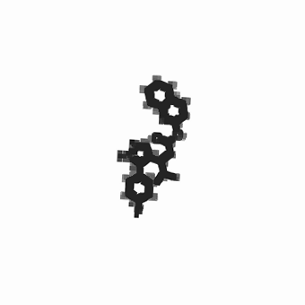 CC(C)C(=CC(=O)Oc1ccc2ccccc2n1)c1cn[nH]c1-c1ccc(F)cc1